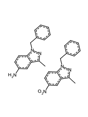 Cc1nn(Cc2ccccc2)c2ccc(N)cc12.Cc1nn(Cc2ccccc2)c2ccc([N+](=O)[O-])cc12